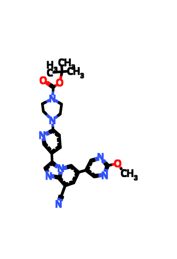 COc1ncc(-c2cc(C#N)c3ncc(-c4ccc(N5CCN(C(=O)OC(C)(C)C)CC5)nc4)n3c2)cn1